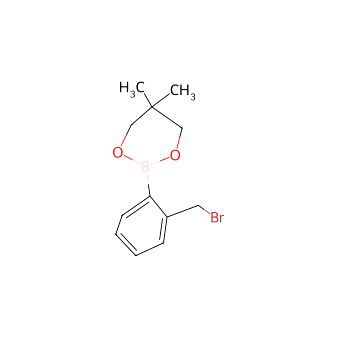 CC1(C)COB(c2ccccc2CBr)OC1